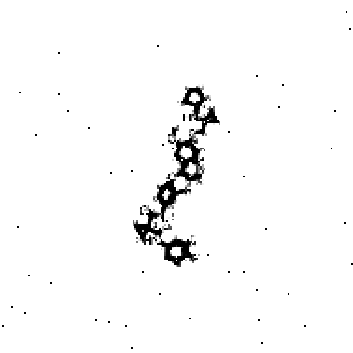 COc1cc2c(Oc3ccc(NC(=O)C4(C(=O)Nc5ccc(F)c(F)c5)CC4)cc3F)ccnc2cc1OCC1(NC2CCCC2)CC1